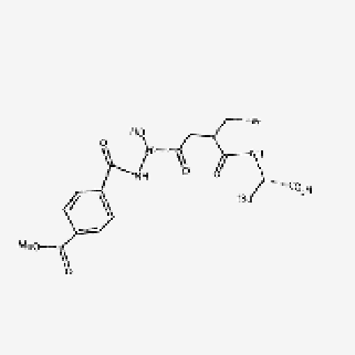 COC(=O)c1ccc(C(=O)NN(O)C(=O)CC(CC(C)C)C(=O)N[C@H](C(=O)O)C(C)(C)C)cc1